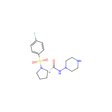 O=C(NN1CCNCC1)[C@@H]1CCCN1S(=O)(=O)c1ccc(F)cc1